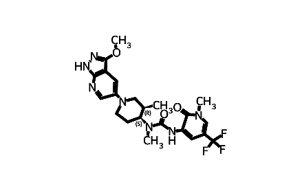 COc1n[nH]c2ncc(N3CC[C@H](N(C)C(=O)Nc4cc(C(F)(F)F)cn(C)c4=O)[C@H](C)C3)cc12